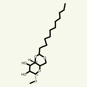 CCCCCCCCCCCC1OCC2O[C@H](OC)C(O)C(O)[C@@H]2O1